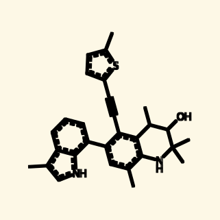 Cc1ccc(C#Cc2c(-c3cccc4c(C)c[nH]c34)cc(C)c3c2C(C)C(O)C(C)(C)N3)s1